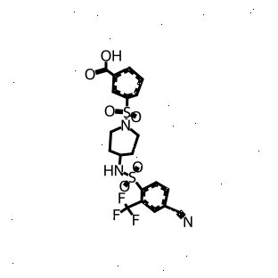 N#Cc1ccc(S(=O)(=O)NC2CCN(S(=O)(=O)c3cccc(C(=O)O)c3)CC2)c(C(F)(F)F)c1